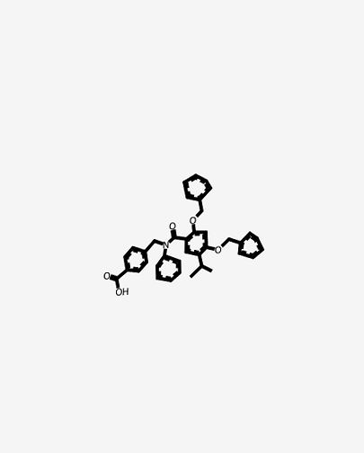 CC(C)c1cc(C(=O)N(Cc2ccc(C(=O)O)cc2)c2ccccc2)c(OCc2ccccc2)cc1OCc1ccccc1